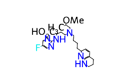 COC(C)CN(CCCCc1ccc2c(n1)NCCC2)CCC(Nc1ncc(F)cn1)C(=O)O